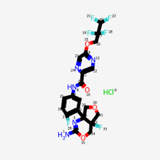 Cl.NC1=NC2(c3cc(NC(=O)c4cnc(OCC(F)(F)C(F)F)cn4)ccc3F)COCC2(F)CO1